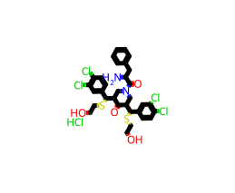 Cl.NC(Cc1ccccc1)C(=O)N1CC(C(SCCO)c2ccc(Cl)c(Cl)c2)C(=O)C(C(SCCO)c2ccc(Cl)c(Cl)c2)C1